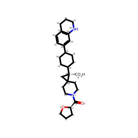 O=C([C@H]1CCCO1)N1CCC2(CC1)C[C@@]2(C(=O)O)C1CCC(c2ccc3c(c2)NCCC3)CC1